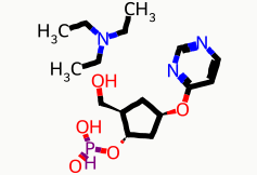 CCN(CC)CC.O=[PH](O)O[C@H]1C[C@H](Oc2ccncn2)C[C@@H]1CO